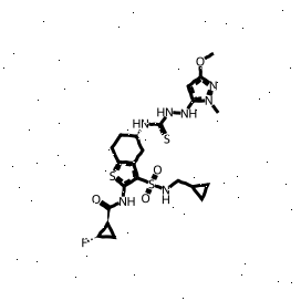 COc1cc(NNC(=S)N[C@H]2CCc3sc(NC(=O)[C@H]4C[C@@H]4F)c(S(=O)(=O)NCC4CC4)c3C2)n(C)n1